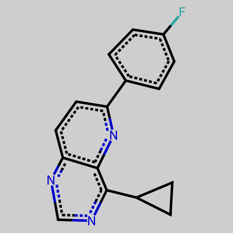 Fc1ccc(-c2ccc3ncnc(C4CC4)c3n2)cc1